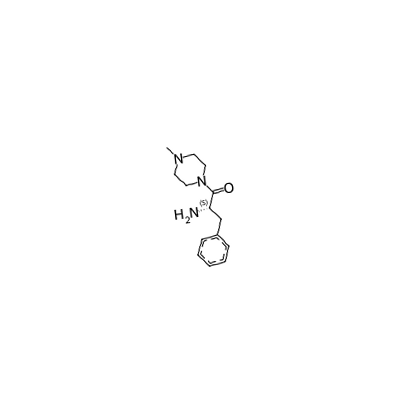 CN1CCN(C(=O)[C@@H](N)Cc2ccccc2)CC1